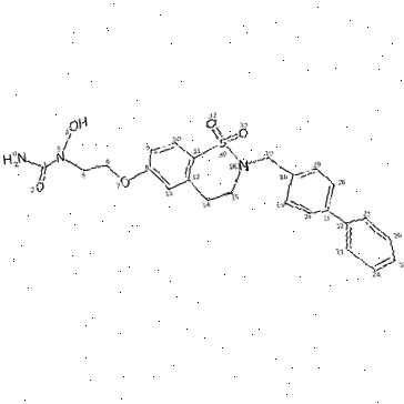 NC(=O)N(O)CCOc1ccc2c(c1)CCN(Cc1ccc(-c3ccccc3)cc1)S2(=O)=O